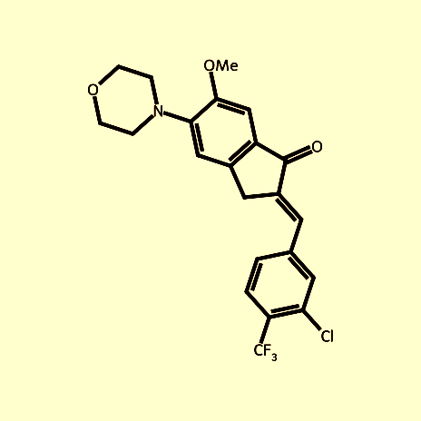 COc1cc2c(cc1N1CCOCC1)CC(=Cc1ccc(C(F)(F)F)c(Cl)c1)C2=O